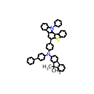 CC1(C)c2ccccc2-c2ccc(N(c3ccc(-c4ccccc4)cc3)c3ccc(-c4cc5c6ccccc6n(-c6ccccc6)c5c5c4sc4ccccc45)cc3)cc21